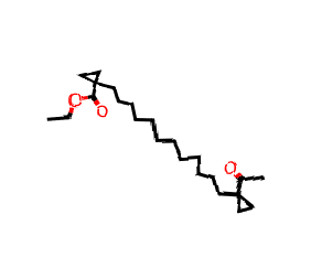 CCOC(=O)C1(CCCCCCCCCCCCC2(C(C)=O)CC2)CC1